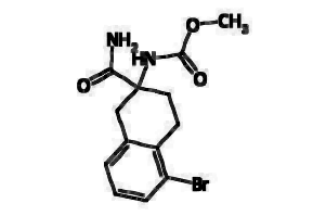 COC(=O)NC1(C(N)=O)CCc2c(Br)cccc2C1